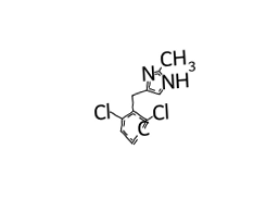 Cc1nc(Cc2c(Cl)cccc2Cl)c[nH]1